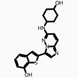 Oc1cccc2cc(-c3cnc4ccc(NC5CCC(O)CC5)nn34)sc12